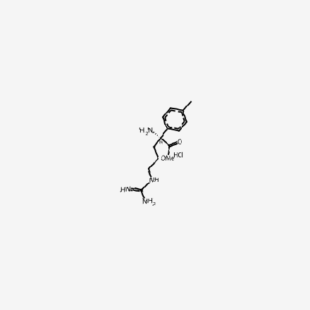 COC(=O)[C@@](N)(CCCNC(=N)N)c1ccc(C)cc1.Cl